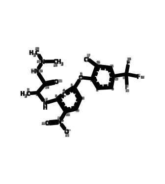 CC(Nc1cc(Oc2ccc(C(F)(F)F)cc2Cl)ccc1[N+](=O)[O-])C(=O)NN(C)C